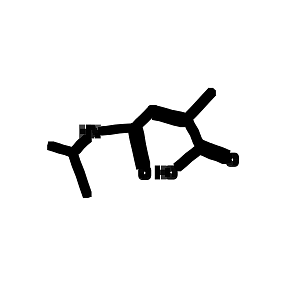 CC(=CC(=O)NC(C)C)C(=O)O